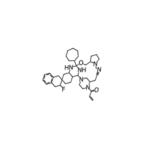 C=CC(=O)N1CCN(C2NC(OCC3CCCN3C)(C3CCCCCC3)NC3CC4(CCC32)Cc2ccccc2CC4F)CC1CC#N